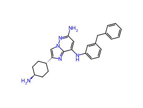 Nc1cc(Nc2cccc(Cc3ccccc3)c2)c2nc([C@H]3CC[C@H](N)CC3)cn2n1